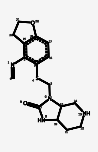 C=Nc1c(SCN2C(=O)NC3CCNCC32)ccc2c1CCO2